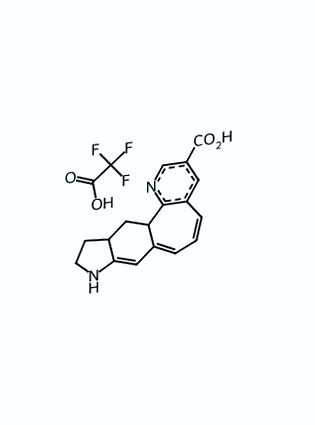 O=C(O)C(F)(F)F.O=C(O)c1cnc2c(c1)C=CC=C1C=C3NCCC3CC12